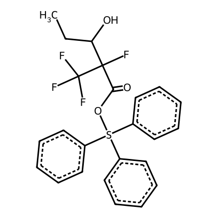 CCC(O)C(F)(C(=O)OS(c1ccccc1)(c1ccccc1)c1ccccc1)C(F)(F)F